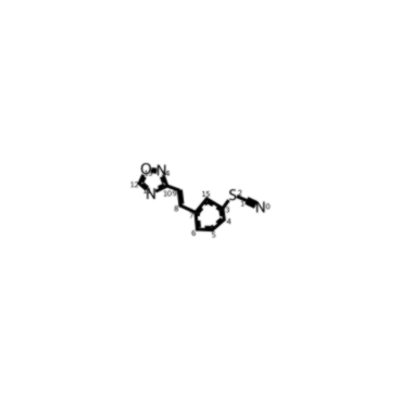 N#CSc1cccc(/C=C/c2ncon2)c1